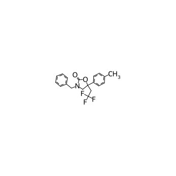 Cc1ccc(C2(CC(F)(F)F)CN(Cc3ccccc3)C(=O)O2)cc1